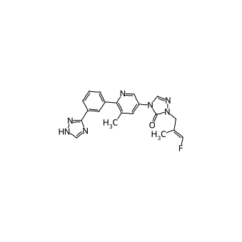 C/C(=C\F)Cn1ncn(-c2cnc(-c3cccc(-c4nc[nH]n4)c3)c(C)c2)c1=O